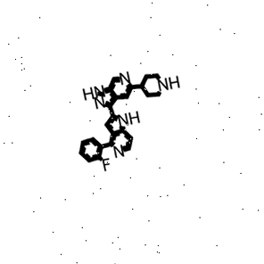 Fc1ccccc1-c1nccc2[nH]c(-c3n[nH]c4cnc(C5CCNCC5)cc34)cc12